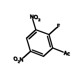 CC(=O)c1cc([N+](=O)[O-])cc([N+](=O)[O-])c1F